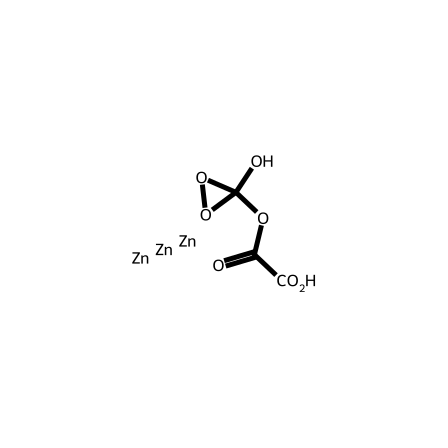 O=C(O)C(=O)OC1(O)OO1.[Zn].[Zn].[Zn]